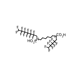 O=C(O)N(CCCCCCN(CC(F)(F)C(F)(F)C(F)(F)C(F)(F)C(F)(F)C(F)F)C(=O)O)CC(F)(F)C(F)(F)C(F)(F)C(F)F